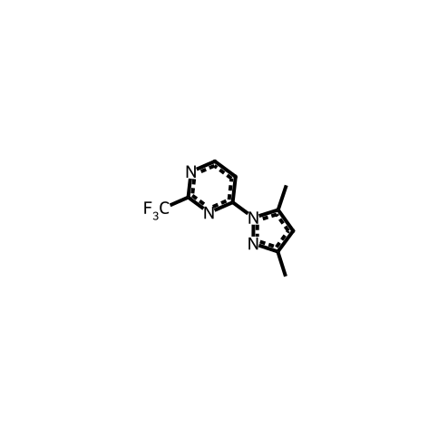 Cc1cc(C)n(-c2ccnc(C(F)(F)F)n2)n1